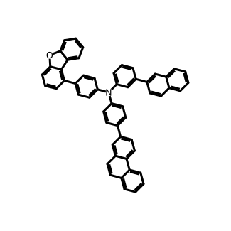 c1cc(-c2ccc3ccccc3c2)cc(N(c2ccc(-c3ccc4c(ccc5ccccc54)c3)cc2)c2ccc(-c3cccc4oc5ccccc5c34)cc2)c1